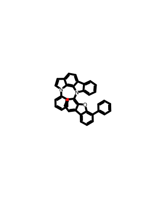 c1ccc(-c2cccc3c2oc2c(-n4c5ccccc5c5ccc6ccn(-c7ccccc7)c6c54)cccc23)cc1